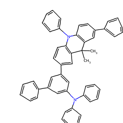 CC1(C)c2cc(-c3ccccc3)ccc2N(c2ccccc2)c2ccc(-c3cc(-c4ccccc4)cc(N(c4ccccc4)c4ccccc4)c3)cc21